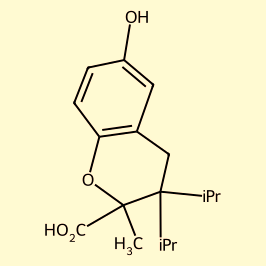 CC(C)C1(C(C)C)Cc2cc(O)ccc2OC1(C)C(=O)O